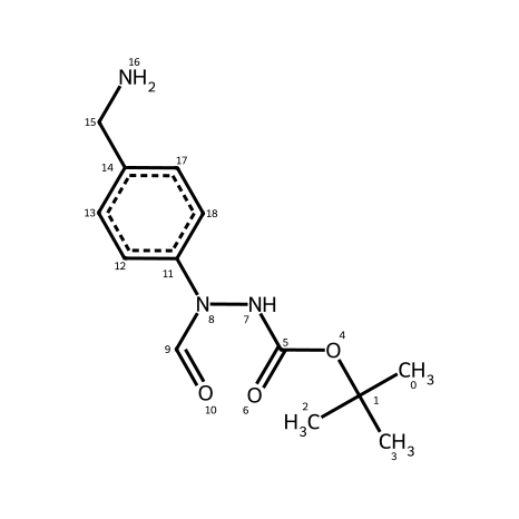 CC(C)(C)OC(=O)NN(C=O)c1ccc(CN)cc1